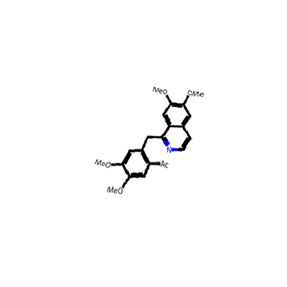 COc1cc(Cc2nccc3cc(OC)c(OC)cc23)c(C(C)=O)cc1OC